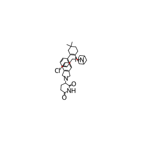 CC1(C)CCC(CN2C3CC2CN(Cc2ccc4c(c2)CN(C2CCC(=O)NC2=O)C4)C3)=C(c2ccc(Cl)cc2)C1